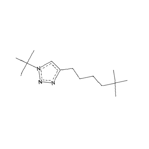 CC(C)(C)CCCCc1cn(C(C)(C)C)nn1